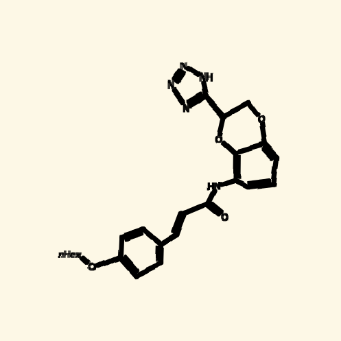 CCCCCCOc1ccc(/C=C/C(=O)Nc2cccc3c2OC(c2nnn[nH]2)CO3)cc1